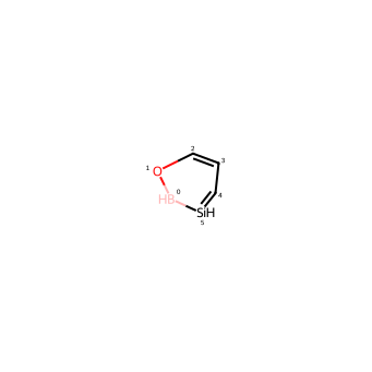 B1OC=CC=[SiH]1